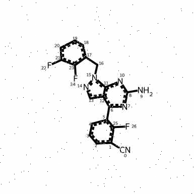 N#Cc1cccc(-c2nc(N)nc3c2cnn3Cc2cccc(F)c2F)c1F